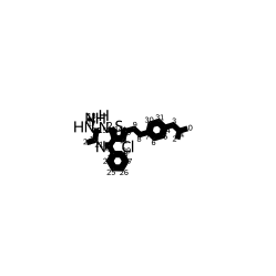 CC(C)Cc1ccc(CCc2cc3c(s2)NC(NN)C(C)N=C3c2ccccc2Cl)cc1